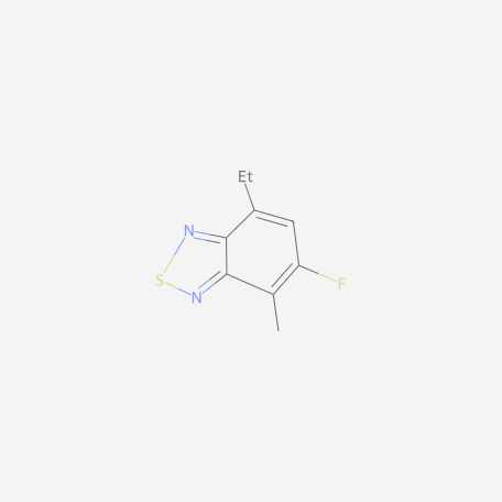 CCc1cc(F)c(C)c2nsnc12